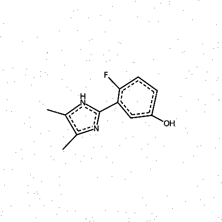 Cc1nc(-c2cc(O)ccc2F)[nH]c1C